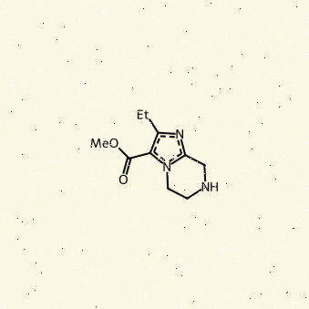 CCc1nc2n(c1C(=O)OC)CCNC2